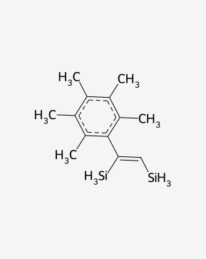 Cc1c(C)c(C)c(/C([SiH3])=C/[SiH3])c(C)c1C